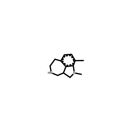 Cc1ccc2c3c1N(C)CC3CNCC2